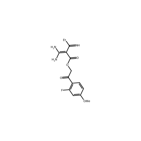 CCC(=N)C(C(=O)OCC(=O)c1ccc(OC)cc1F)=C(N)N